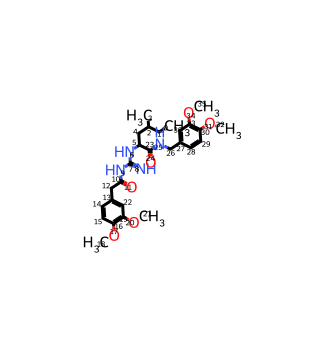 CCC(C)CC(NC(=N)NC(=O)Cc1ccc(OC)c(OC)c1)C(=O)NCc1ccc(OC)c(OC)c1